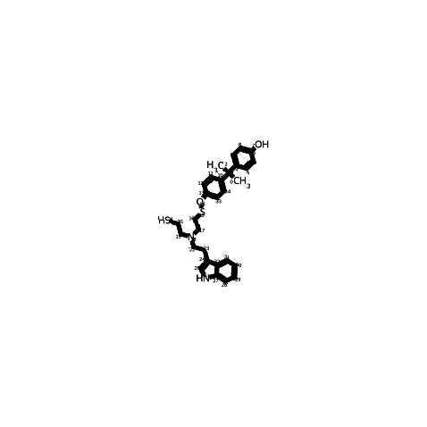 CC(C)(c1ccc(O)cc1)c1ccc(OSCCN(CCS)CCc2c[nH]c3ccccc23)cc1